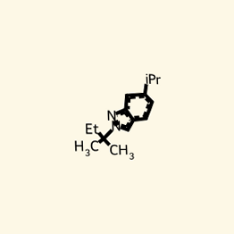 CCC(C)(C)n1cc2ccc(C(C)C)cc2n1